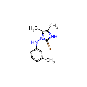 Cc1cccc(Nn2c(C)c(C)[nH]c2=S)c1